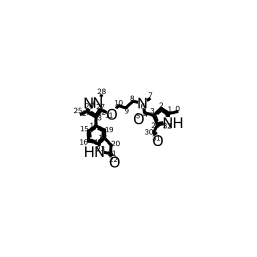 Cc1cc(C(=O)N(C)CCCOc2c(-c3ccc4c(c3)CC(=O)N4)c(C)nn2C)c(C=O)[nH]1